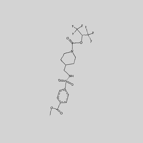 COC(=O)c1ccc(S(=O)(=O)NCC2CCN(C(=O)OC(C(F)(F)F)C(F)(F)F)CC2)cc1